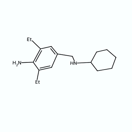 CCc1cc(CNC2CCCCC2)cc(CC)c1N